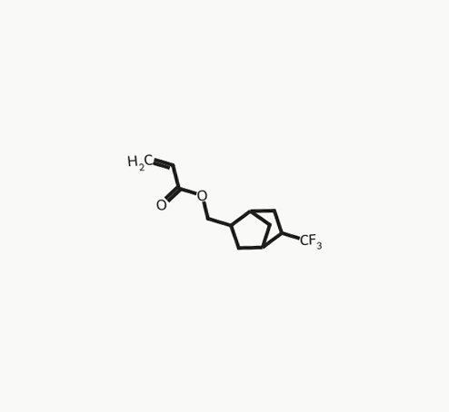 C=CC(=O)OCC1CC2CC1CC2C(F)(F)F